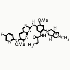 C=CC(=O)Nc1cc(Nc2ncc3cc(Oc4ccc(F)cn4)c(OC)nc3n2)c(OC)cc1N1C[C@H]2CN(C)C[C@H]2C1